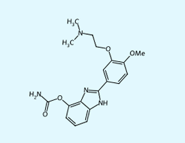 COc1ccc(-c2nc3c(OC(N)=O)cccc3[nH]2)cc1OCCN(C)C